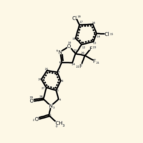 CC(=O)N1Cc2cc(C3=NOC(c4cc(Cl)cc(Cl)c4)(C(F)(F)F)C3)ccc2C1=O